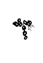 CC1(C)c2ccccc2-c2ccc(N(c3ccc(-c4ccc(-c5ccccc5)cc4)cc3)c3ccc4c(c3)-c3ccccc3C43C4CC5CC(C4)CC3C5)cc21